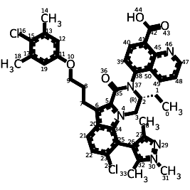 CC[C@@H]1Cn2c(c(CCCOc3cc(C)c(Cl)c(C)c3)c3ccc(Cl)c(-c4c(C)nn(C)c4C)c32)C(=O)N1c1ccc(C(=O)O)c2ncccc12